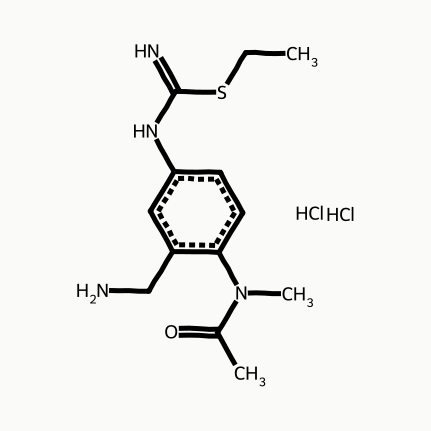 CCSC(=N)Nc1ccc(N(C)C(C)=O)c(CN)c1.Cl.Cl